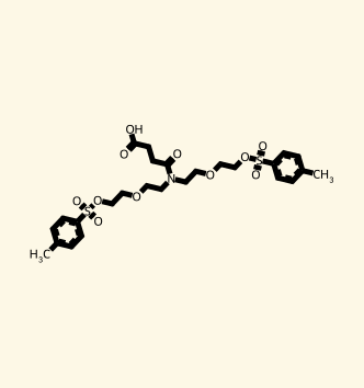 Cc1ccc(S(=O)(=O)OCCOCCN(CCOCCOS(=O)(=O)c2ccc(C)cc2)C(=O)CCC(=O)O)cc1